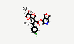 C[C@@]1(O[N+](=O)[O-])CO[C@@H]2C(C(C(=O)Oc3cncc4c3COC4)[C@H](C(=O)O)c3ccc(Cl)cc3)CO[C@@H]21